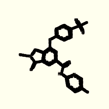 Cc1ccc(NC(=O)c2cc(Oc3ccc(S(C)(=O)=O)cc3)c3c(c2)C(=O)N(C)C3)nc1